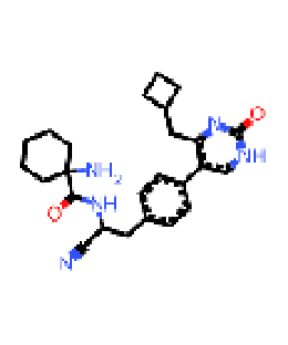 N#CC(Cc1ccc(-c2c[nH]c(=O)nc2CC2CCC2)cc1)NC(=O)C1(N)CCCCC1